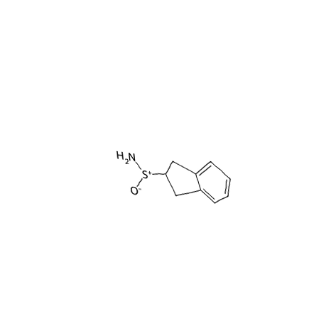 N[S+]([O-])C1Cc2ccccc2C1